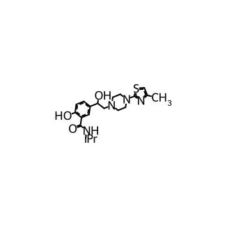 Cc1csc(N2CCN(CC(O)c3ccc(O)c(C(=O)NC(C)C)c3)CC2)n1